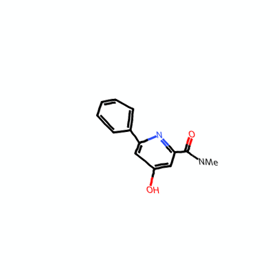 CNC(=O)c1cc(O)cc(-c2ccccc2)n1